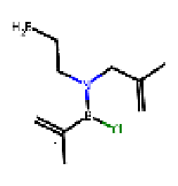 BCCN(CC(=C)C)B(Cl)C(=C)C